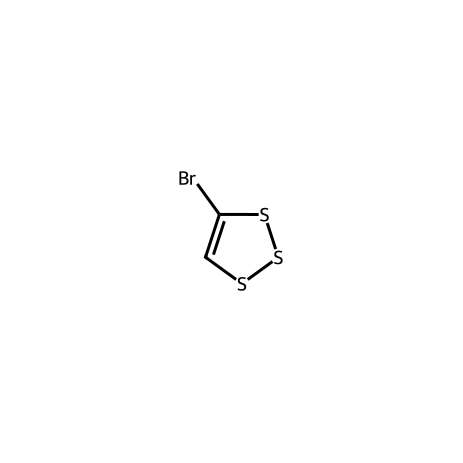 BrC1=CSSS1